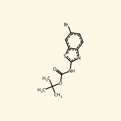 CC(C)(C)OC(=O)Nc1nc2ccc(Br)cc2s1